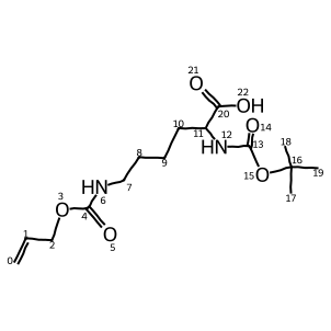 C=CCOC(=O)NCCCCC(NC(=O)OC(C)(C)C)C(=O)O